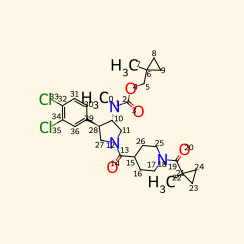 CN(C(=O)OCC1(C)CC1)[C@@H]1CN(C(=O)C2CCN(C(=O)C3(C)CC3)CC2)C[C@H]1c1ccc(Cl)c(Cl)c1